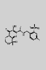 CCC1(C)OCCn2c1nc(C(=O)NCc1ccc(F)cc1S(C)(=O)=O)c(O)c2=O